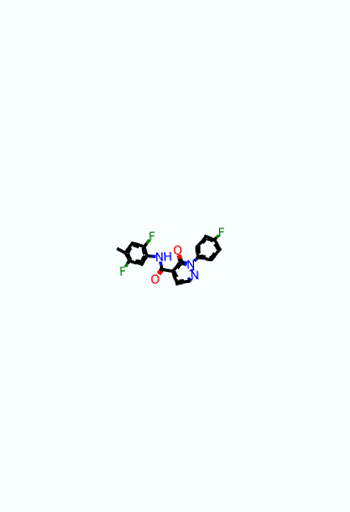 Cc1cc(F)c(NC(=O)c2ccnn(-c3ccc(F)cc3)c2=O)cc1F